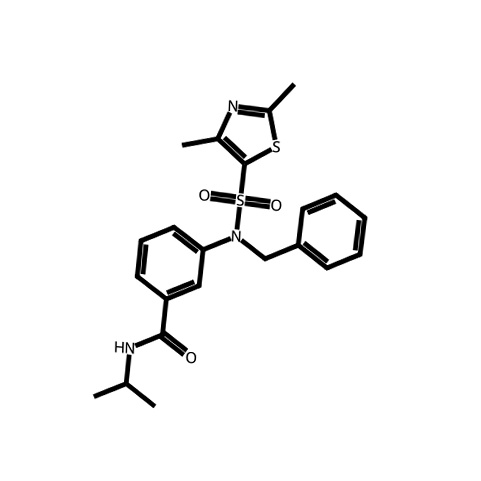 Cc1nc(C)c(S(=O)(=O)N(Cc2ccccc2)c2cccc(C(=O)NC(C)C)c2)s1